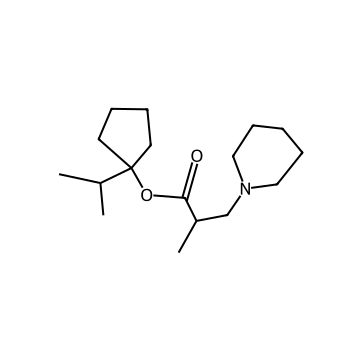 CC(CN1CCCCC1)C(=O)OC1(C(C)C)CCCC1